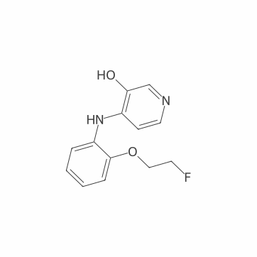 Oc1cnccc1Nc1ccccc1OCCF